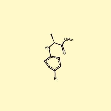 CCc1ccc(N[C@@H](C)C(=O)OC)cc1